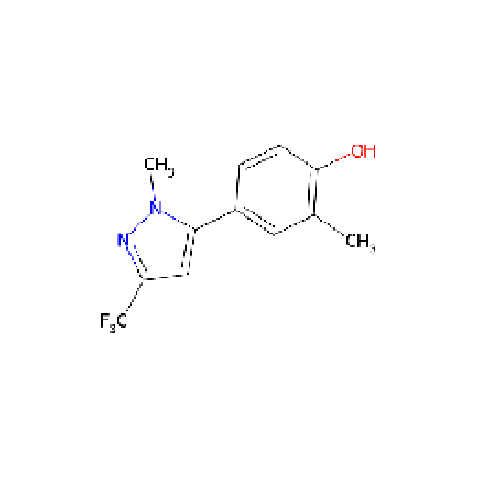 Cc1cc(-c2cc(C(F)(F)F)nn2C)ccc1O